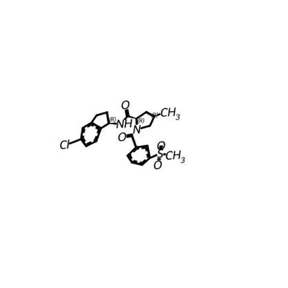 C[C@@H]1C[C@H](C(=O)N[C@@H]2CCc3cc(Cl)ccc32)N(C(=O)c2cccc(S(C)(=O)=O)c2)C1